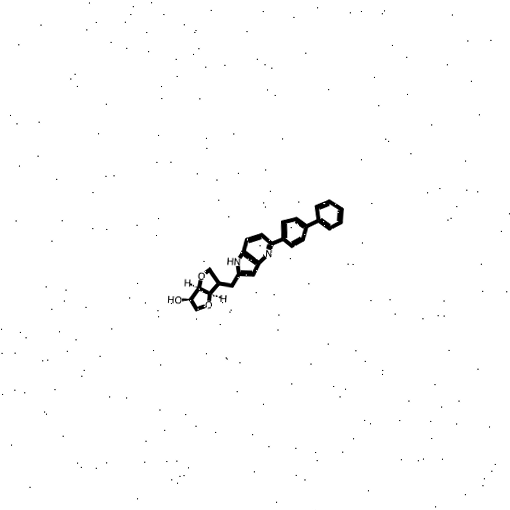 O[C@@H]1CO[C@@H]2C(Cc3cc4nc(-c5ccc(-c6ccccc6)cc5)ccc4[nH]3)CO[C@H]12